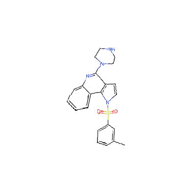 Cc1cccc(S(=O)(=O)n2ccc3c(N4CCNCC4)nc4ccccc4c32)c1